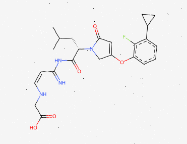 CC(C)C[C@@H](C(=O)NC(=N)/C=C\NCC(=O)O)N1CC(Oc2cccc(C3CC3)c2F)=CC1=O